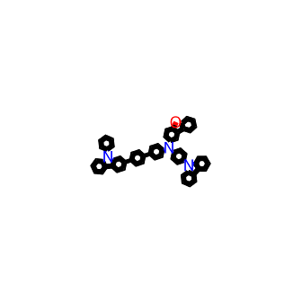 c1ccc(-n2c3ccccc3c3ccc(-c4ccc(-c5ccc(N(c6ccc(-n7c8ccccc8c8ccccc87)cc6)c6ccc7oc8ccccc8c7c6)cc5)cc4)cc32)cc1